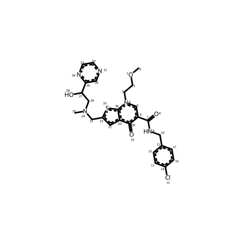 COCCn1cc(C(=O)NCc2ccc(Cl)cc2)c(=O)c2cc(CN(C)CC(O)c3cnccn3)sc21